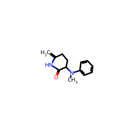 C=C1CCC(N(C)c2ccccc2)C(=O)N1